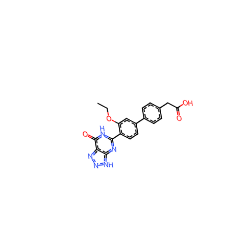 CCOc1cc(-c2ccc(CC(=O)O)cc2)ccc1-c1nc2[nH]nnc2c(=O)[nH]1